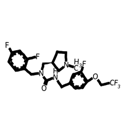 CN1CC[C@H](CN(Cc2ccc(F)cc2F)C(=O)NCc2ccc(OCC(F)(F)F)c(F)c2)C1